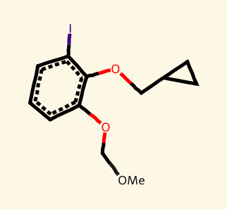 COCOc1cccc(I)c1OCC1CC1